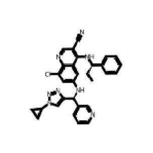 CC[C@@H](Nc1c(C#N)cnc2c(Cl)cc(N[C@@H](c3cccnc3)c3cn(C4CC4)nn3)cc12)c1ccccc1